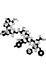 Cc1ccc2c(C[C@H](NC(=O)[C@H](CCC(N)=O)NC(=O)[C@@H](Cc3ccccc3)NC(=O)[C@@H]3CCCCN3)C(=O)N[C@@H](C)C(=O)N[C@H](C(=O)NCC(=O)N[C@@H](Cc3c[nH]cn3)C(=O)N[C@@H](CC(C)C)C(=O)N3CSC[C@H]3C(N)=O)C(C)C)c[nH]c2c1